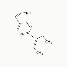 CC=C(c1ccc2cc[nH]c2c1)C(C)I